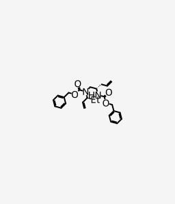 C=CC[C@@H](CN(C(=O)OCc1ccccc1)[C@H](C=C)CC)NC(=O)OCc1ccccc1